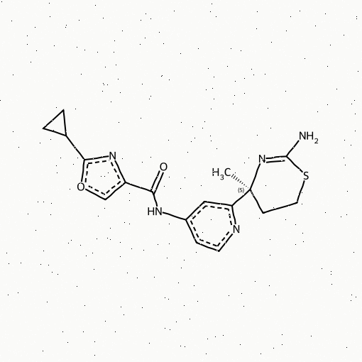 C[C@@]1(c2cc(NC(=O)c3coc(C4CC4)n3)ccn2)CCSC(N)=N1